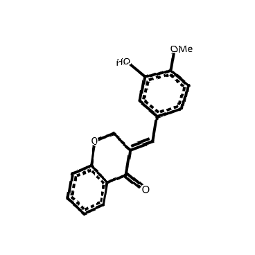 COc1ccc(/C=C2\COc3ccccc3C2=O)cc1O